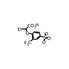 CCC(Oc1ccc(S(=O)(=O)Cl)cc1C(F)(F)F)C(=O)O